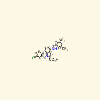 O=C(O)c1cc2c(NCc3cc(C(F)(F)F)cc(C(F)(F)F)c3)cccc2n1Cc1cccc(Cl)c1